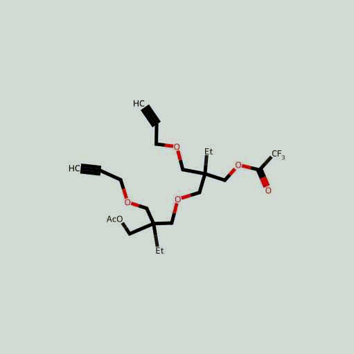 C#CCOCC(CC)(COCC(CC)(COCC#C)COC(=O)C(F)(F)F)COC(C)=O